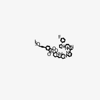 O=C1NC(=CC2CCN(c3cccc(-c4cnc5ccc(N6CCC[C@@H]6c6cccc(F)c6)nn45)n3)CC2)CCC1N1C(=O)c2ccc(C#CCOSI)cc2C1=O